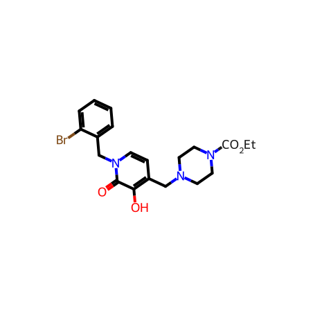 CCOC(=O)N1CCN(Cc2ccn(Cc3ccccc3Br)c(=O)c2O)CC1